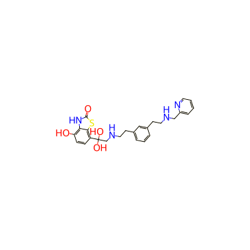 O=c1[nH]c2c(O)ccc(C(O)(O)CNCCc3cccc(CCNCc4ccccn4)c3)c2s1